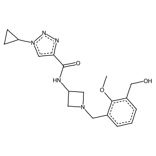 COc1c(CO)cccc1CN1CC(NC(=O)c2cn(C3CC3)nn2)C1